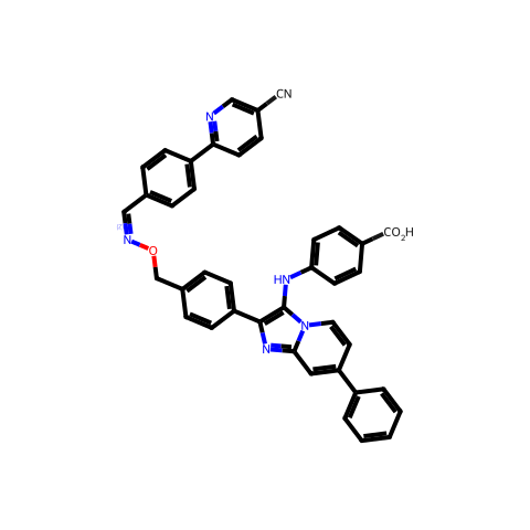 N#Cc1ccc(-c2ccc(/C=N\OCc3ccc(-c4nc5cc(-c6ccccc6)ccn5c4Nc4ccc(C(=O)O)cc4)cc3)cc2)nc1